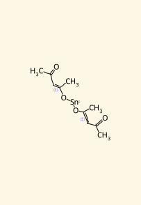 CC(=O)/C=C(\C)[O][Sn][O]/C(C)=C/C(C)=O